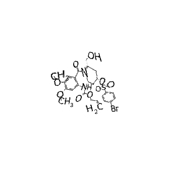 C=CCOC(=O)Nc1cc(OC)c(OC)cc1C(=O)N1CC[C@@H](OS(=O)(=O)c2ccc(Br)cc2)C[C@H]1CO